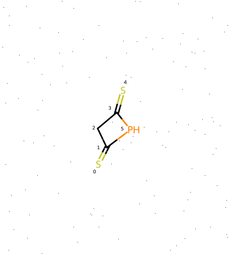 S=C1CC(=S)P1